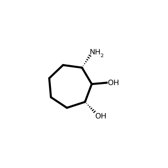 N[C@H]1CCCC[C@@H](O)C1O